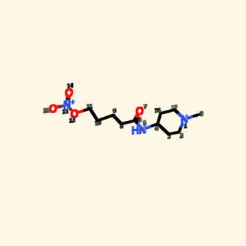 CN1CCC(NC(=O)CCCCO[N+](=O)[O-])CC1